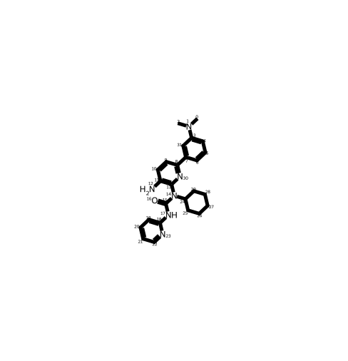 CN(C)c1cccc(-c2ccc(N)c(N(C(=O)Nc3ccccn3)C3CCCCC3)n2)c1